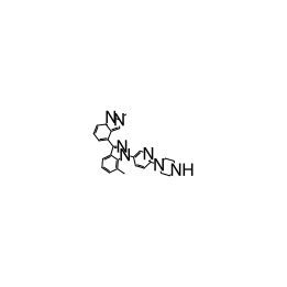 Cc1cccc2c(-c3cccc4nn(C)cc34)nn(-c3ccc(N4CCNCC4)nc3)c12